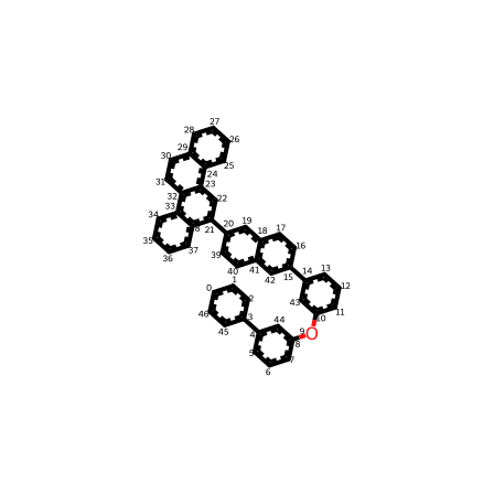 c1ccc(-c2cccc(Oc3cccc(-c4ccc5cc(-c6cc7c8ccccc8ccc7c7ccccc67)ccc5c4)c3)c2)cc1